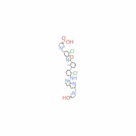 Cc1c(-c2nc3cc(CN4CC[C@H](C(=O)O)C4)cc(Cl)c3o2)cccc1-c1cccc(Nc2nccc3cc(CN4CC[C@H](O)C4)cnc23)c1Cl